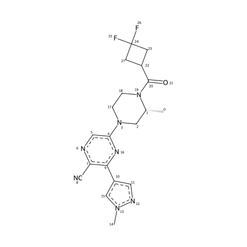 C[C@@H]1CN(c2cnc(C#N)c(-c3cnn(C)c3)n2)CCN1C(=O)C1CC(F)(F)C1